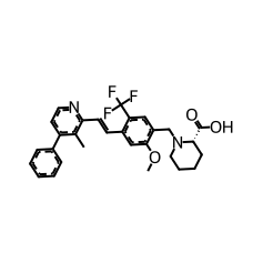 COc1cc(/C=C/c2nccc(-c3ccccc3)c2C)c(C(F)(F)F)cc1CN1CCCC[C@H]1C(=O)O